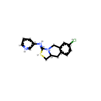 Clc1ccc2c(c1)CN1C(=Nc3cccnc3)SCC1C2